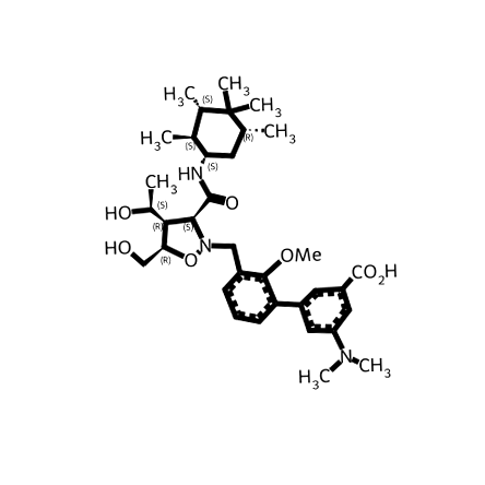 COc1c(CN2O[C@@H](CO)[C@@H]([C@H](C)O)[C@H]2C(=O)N[C@H]2C[C@@H](C)C(C)(C)[C@@H](C)[C@@H]2C)cccc1-c1cc(C(=O)O)cc(N(C)C)c1